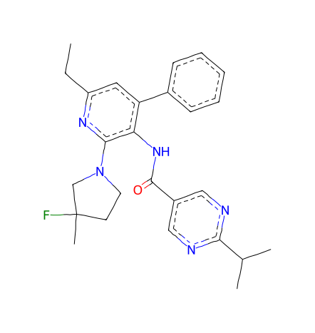 CCc1cc(-c2ccccc2)c(NC(=O)c2cnc(C(C)C)nc2)c(N2CCC(C)(F)C2)n1